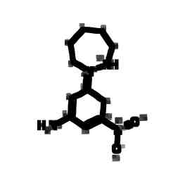 NC1=CC(=[N+]2CCCCCN2)CC([N+](=O)[O-])=C1